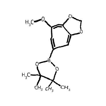 COc1cc(B2OC(C)(C)C(C)(C)O2)cc2c1OCO2